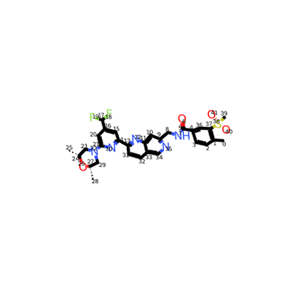 Cc1ccc(C(=O)NCc2cc3nc(-c4cc(C(F)F)cc(N5C[C@@H](C)O[C@@H](C)C5)n4)ccc3cn2)cc1S(C)(=O)=O